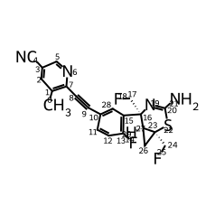 Cc1cc(C#N)cnc1C#Cc1ccc(F)c([C@@]2(CF)N=C(N)S[C@@]3(CF)C[C@H]32)c1